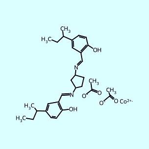 CC(=O)[O-].CC(=O)[O-].CCC(C)c1ccc(O)c(C=NC2CCC(N=Cc3cc(C(C)CC)ccc3O)C2)c1.[Co+2]